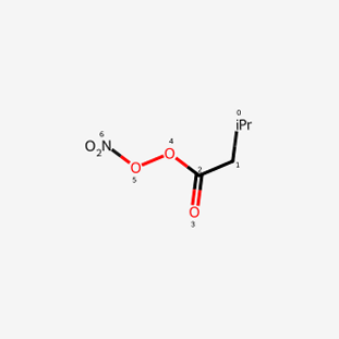 CC(C)CC(=O)OO[N+](=O)[O-]